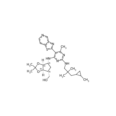 Cc1nc(NCC(C)(C)CC2CC2C)nc(N[C@@H]2C[C@H](CO)[C@H]3OC(C)(C)O[C@H]32)c1-c1nc2cnccc2s1